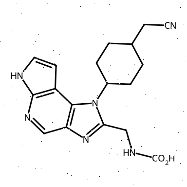 N#CCC1CCC(n2c(CNC(=O)O)nc3cnc4[nH]ccc4c32)CC1